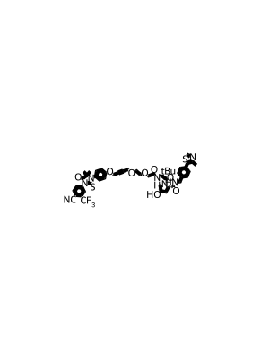 Cc1ncsc1-c1ccc(CNC(=O)[C@@H]2C[C@@H](O)CN2C(=O)C(NC(=O)COCCOCC#CCOc2ccc(N3C(=S)N(c4ccc(C#N)c(C(F)(F)F)c4)C(=O)C3(C)C)cc2)C(C)(C)C)cc1